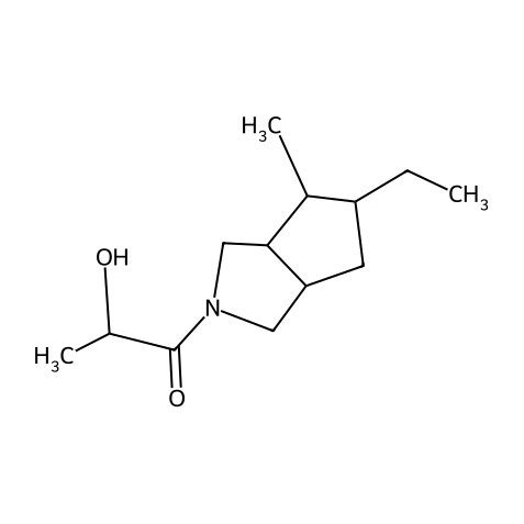 CCC1CC2CN(C(=O)C(C)O)CC2C1C